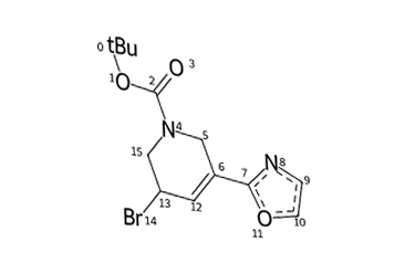 CC(C)(C)OC(=O)N1CC(c2ncco2)=CC(Br)C1